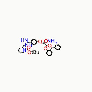 CC(C)(C)OC(=O)N1CCCCC1CNC(=N)c1ccc(OC[C@H](ON)C(=O)OC(c2ccccc2)c2ccccc2)cc1